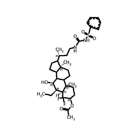 CC[C@@H]1[C@@H]2C(F)(F)[C@H](OC(C)=O)CC[C@]2(C)C2CC[C@@]3(C)C(CCC3[C@H](C)CCNC(=O)NS(=O)(=O)c3ccccc3)C2[C@@H]1O